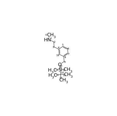 CNCCc1cccc(CO[Si](C)(C)C(C)(C)C)c1